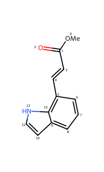 COC(=O)/C=C/c1cccc2cc[nH]c12